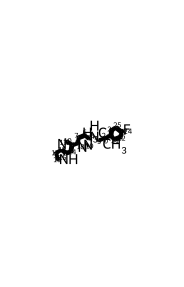 CC(C)(CNc1ccc(-c2cnc3c(c2)NCC3)nn1)c1ccc(F)cc1